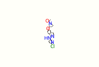 CC(=O)N1CCCC(Oc2ccc3c(Nc4ccc(Cl)nc4)nccc3c2)C1